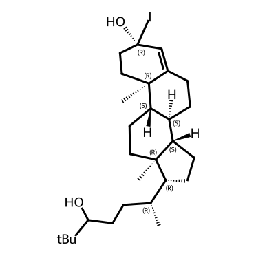 C[C@H](CCC(O)C(C)(C)C)[C@H]1CC[C@H]2[C@@H]3CCC4=C[C@](O)(I)CC[C@]4(C)[C@H]3CC[C@]12C